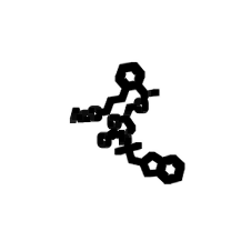 CC(=O)OCCCc1ccccc1[C@@H](C)OC[C@H]1CN(C(C)(C)CC2Cc3ccccc3C2)C(=O)O1